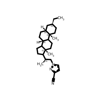 CC[C@H]1CC[C@]2(C)C3CC[C@@]4(C)C(CCC4[C@H](C)Cn4ccc(C#N)n4)[C@@H]3CC[C@@H]2C1